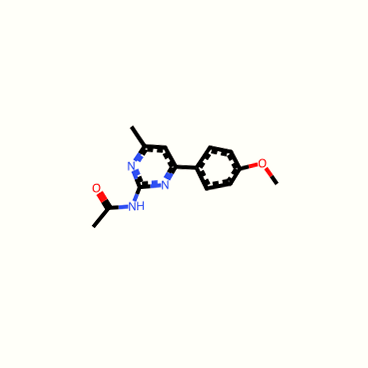 COc1ccc(-c2cc(C)nc(NC(C)=O)n2)cc1